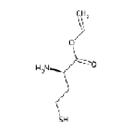 C=COC(=O)[C@H](N)CCS